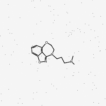 CN(C)CCCN1CCOc2cccc3onc1c23